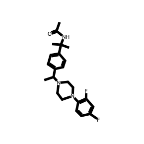 CC(=O)NC(C)(C)c1ccc(C(C)N2CCN(c3ccc(F)cc3F)CC2)cc1